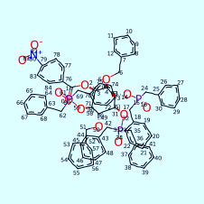 O=C(O[C@H]1[C@@H](OCc2ccccc2)[C@H](OP(=O)(Cc2ccccc2)Cc2ccccc2)[C@@H](OP(=O)(Cc2ccccc2)Cc2ccccc2)[C@H](OCc2ccccc2)[C@H]1OP(=O)(Cc1ccccc1)Cc1ccccc1)c1ccc([N+](=O)[O-])cc1